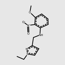 CCn1ccc(CNc2cccc(OC)c2[N+](=O)[O-])n1